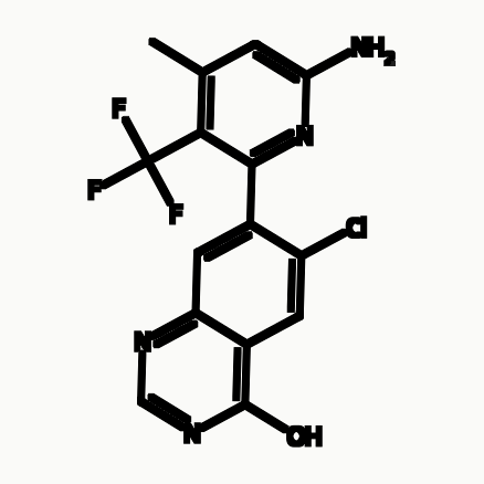 Cc1cc(N)nc(-c2cc3ncnc(O)c3cc2Cl)c1C(F)(F)F